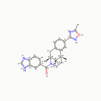 Cc1nc(-c2ccc3c(c2)[C@]2(C)CCN(C(=O)c4ccc5nc[nH]c5c4)[C@H](C3)[C@H]2C)no1